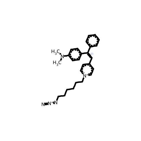 CN(C)c1ccc(/C(=C\c2cc[n+](CCCCCCN=[N+]=[N-])cc2)c2ccccc2)cc1